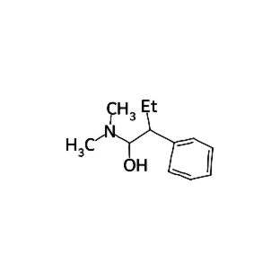 CCC(c1ccccc1)C(O)N(C)C